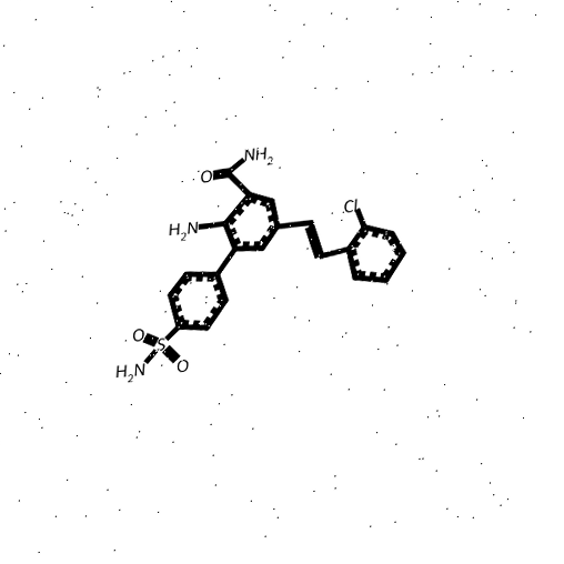 NC(=O)c1cc(C=Cc2ccccc2Cl)cc(-c2ccc(S(N)(=O)=O)cc2)c1N